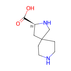 O=C(O)[C@@H]1CC2(CCNCC2)CN1